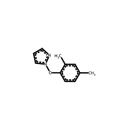 Cc1ccc(On2cc[c]n2)c(C)c1